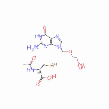 CC(=O)N[C@@H](CS)C(=O)O.Nc1nc2c(ncn2COCCO)c(=O)[nH]1